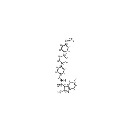 CCCc1nn2ccc(C)cc2c1C(=O)NCc1ccc(N2CCC(c3ccc(OC(F)(F)F)cc3)CC2)cc1